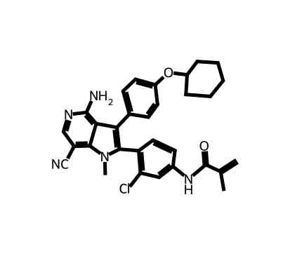 C=C(C)C(=O)Nc1ccc(-c2c(-c3ccc(OC4CCCCC4)cc3)c3c(N)ncc(C#N)c3n2C)c(Cl)c1